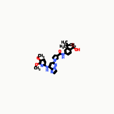 COc1ccc(Nc2cc(N3CCC(C(=O)Nc4ccc(C(=O)O)c(C(C)(C)C)c4)C3)nn3ccnc23)nc1OC